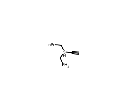 C#C[SH](CP)CCCC